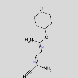 N#C/C(N)=C/C=C(\N)OC1CCNCC1